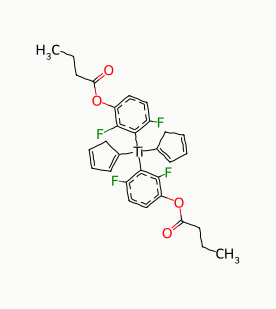 CCCC(=O)Oc1ccc(F)[c]([Ti]([C]2=CC=CC2)([C]2=CC=CC2)[c]2c(F)ccc(OC(=O)CCC)c2F)c1F